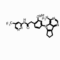 COc1cc(-n2c3c(c4ncnc(N)c42)CCC3)ccc1CC(=O)Nc1cc(C(F)(F)F)cnn1